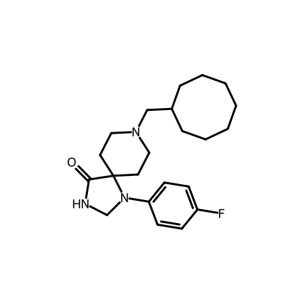 O=C1NCN(c2ccc(F)cc2)C12CCN(CC1CCCCCCC1)CC2